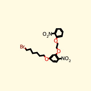 O=[N+]([O-])c1ccccc1OCCOc1cc(OCCCCCCBr)ccc1[N+](=O)[O-]